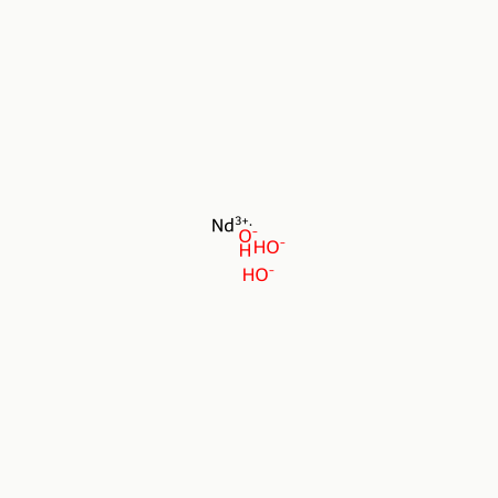 [Nd+3].[OH-].[OH-].[OH-]